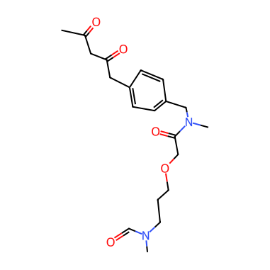 CC(=O)CC(=O)Cc1ccc(CN(C)C(=O)COCCCN(C)C=O)cc1